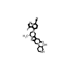 C[C@@H]1CN(c2ccc(C#N)n3ncc(F)c23)Cc2c3c(nn21)CN(C1CCNCC1O)C(=O)C3